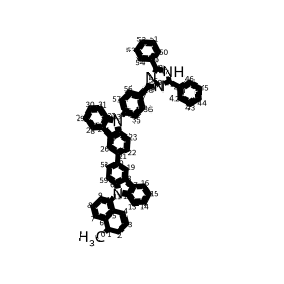 CC1CC=Cc2c1cccc2-n1c2ccccc2c2cc(-c3ccc4c(c3)c3ccccc3n4-c3ccc(C4N5C(c6ccccc6)NC(c6ccccc6)N45)cc3)ccc21